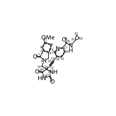 COc1ccc2c(c1)C(=O)N(C[C@@]1(C#Cc3ccc(C(=O)NC4CC4)nc3)NC(=O)NC1=O)C2